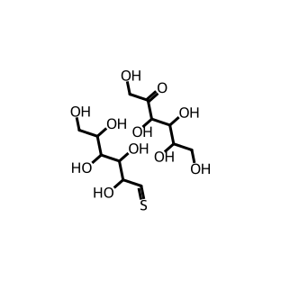 O=C(CO)C(O)C(O)C(O)CO.OCC(O)C(O)C(O)C(O)C=S